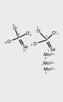 [Mn+2].[Mn+2].[Mn+2].[O-]P([O-])([O-])=[Se].[O-]P([O-])([O-])=[Se]